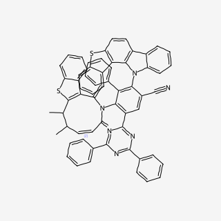 C=C1/C=C\C(C)C(C)c2sc3ccccc3c2C(=C)N1c1c(-c2nc(-c3ccccc3)nc(-c3ccccc3)n2)cc(C#N)c(-n2c3ccccc3c3ccc4sc5ccccc5c4c32)c1-c1ccccc1